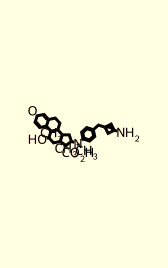 CN(c1ccc(CC23CC(N)(C2)C3)cc1)C1CC2C3CCC4=CC(=O)C=CC4(C)C3C(O)CC2(C)C1C(=O)O